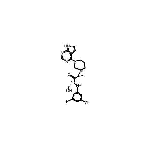 O=C(N[C@@H]1CCCN(c2ncnc3[nH]ccc23)C1)[C@@H](CO)Nc1cc(F)cc(Cl)c1